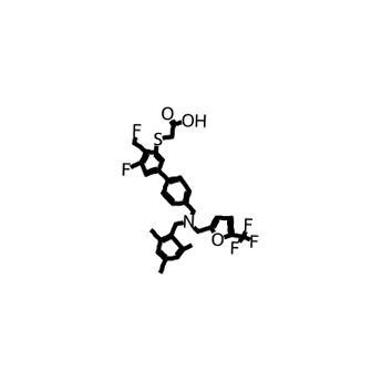 Cc1cc(C)c(CN(Cc2ccc(-c3cc(F)c(CF)c(SCC(=O)O)c3)cc2)Cc2ccc(C(F)(F)F)o2)c(C)c1